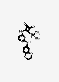 C[C@@H](Nc1c(Nc2ccnc(Nc3ccc4c(c3)OCCO4)n2)c(=O)c1=O)C(C)(C)C